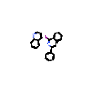 Ic1nc(-c2ccccc2)cc2ccccc12.c1ccc2ncccc2c1